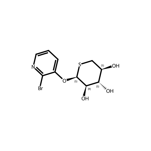 O[C@@H]1[C@@H](O)[C@@H](Oc2cccnc2Br)SC[C@H]1O